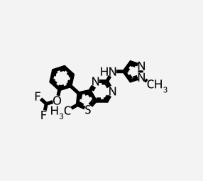 Cc1sc2cnc(Nc3cnn(C)c3)nc2c1-c1ccccc1OC(F)F